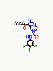 COC(=O)c1ncn2c1CN(C(=O)Nc1cc(F)c(F)c(F)c1)CC2